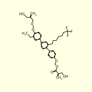 C=C(CO)COCOc1ccc(-c2ccc(-c3ccc(OCOC(=O)C(=C)CO)cc3)c(CCCCCCC(F)(F)F)c2)cc1CC